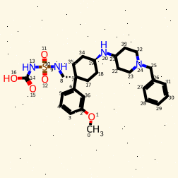 COc1cccc([C@]2(CNS(=O)(=O)NC(=O)O)CC[C@H](NC3CCN(Cc4ccccc4)CC3)CC2)c1